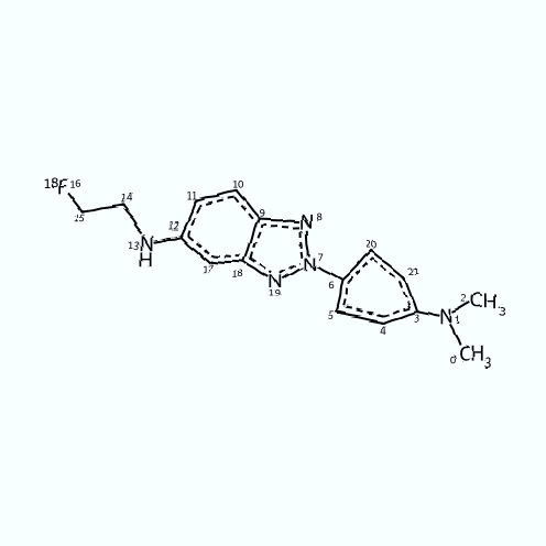 CN(C)c1ccc(-n2nc3ccc(NCC[18F])cc3n2)cc1